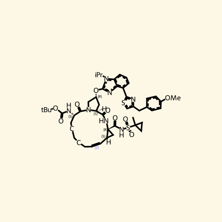 COc1ccc(Cc2csc(-c3cccc4c3nc(O[C@@H]3C[C@H]5C(=O)N[C@]6(C(=O)NS(=O)(=O)C7(C)CC7)C[C@H]6/C=C\CCCCC[C@H](NC(=O)OC(C)(C)C)C(=O)N5C3)n4C(C)C)n2)cc1